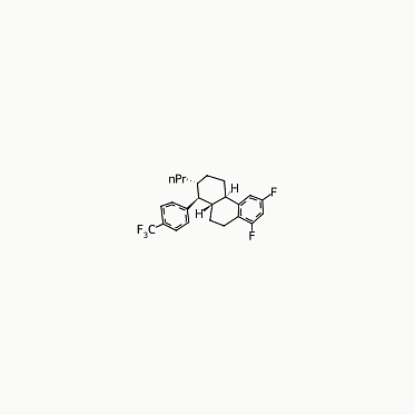 CCC[C@@H]1CC[C@H]2c3cc(F)cc(F)c3CC[C@@H]2[C@H]1c1ccc(C(F)(F)F)cc1